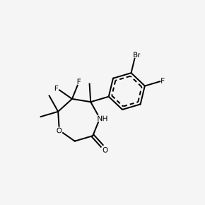 CC1(C)OCC(=O)NC(C)(c2ccc(F)c(Br)c2)C1(F)F